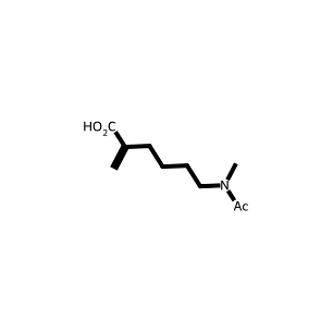 C=C(CCCCN(C)C(C)=O)C(=O)O